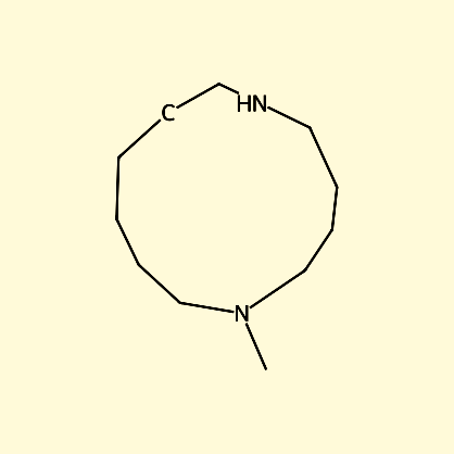 CN1CCCCCCNCCCC1